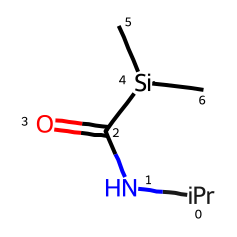 CC(C)NC(=O)[Si](C)C